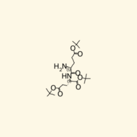 CC(C)(C)OC(=O)CC[C@H](NC(=O)[C@@H](N)CCC(=O)OC(C)(C)C)C(=O)OC(C)(C)C